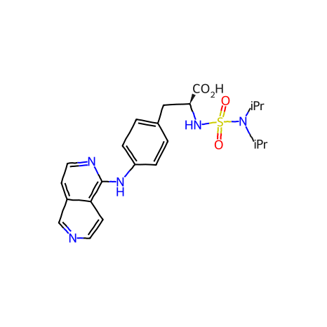 CC(C)N(C(C)C)S(=O)(=O)N[C@@H](Cc1ccc(Nc2nccc3cnccc23)cc1)C(=O)O